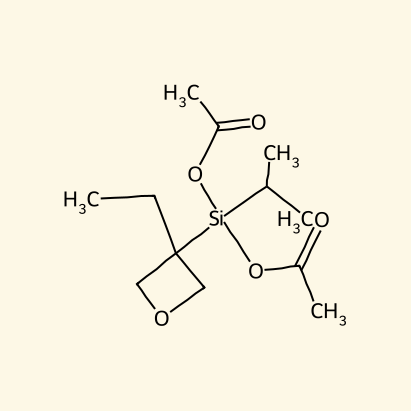 CCC1([Si](OC(C)=O)(OC(C)=O)C(C)C)COC1